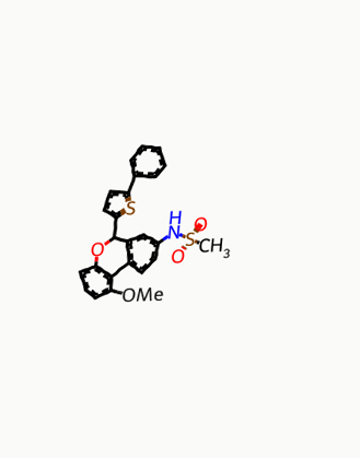 COc1cccc2c1-c1ccc(NS(C)(=O)=O)cc1C(c1ccc(-c3ccccc3)s1)O2